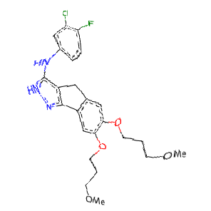 COCCCOc1cc2c(cc1OCCCOC)-c1n[nH]c(Nc3ccc(F)c(Cl)c3)c1C2